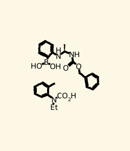 CCN(C(=O)O)c1ccccc1C.C[C@@H](NC(=O)OCc1ccccc1)Nc1ccccc1B(O)O